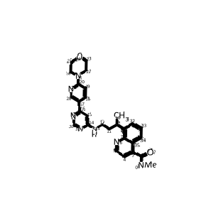 CNC(=O)c1ccnc2c(C(C)CCNc3cc(-c4ccc(N5CCOCC5)nc4)ncn3)cccc12